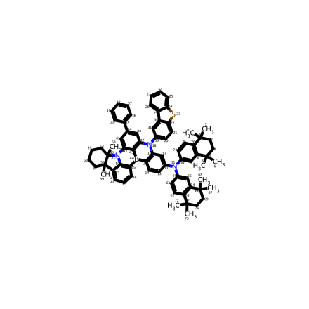 CC1(C)CCC(C)(C)c2cc(N(c3ccc4c(c3)N(c3ccc5sc6ccccc6c5c3)c3cc(-c5ccccc5)cc5c3B4c3cccc4c3N5C3(C)CCCCC43C)c3ccc4c(c3)C(C)(C)CCC4(C)C)ccc21